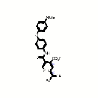 C\C=C(C(=O)Nc1ccc(Oc2ccc(NC)cc2)cc1)/C(=C\C=C(/C)C(C)=O)C(=O)O